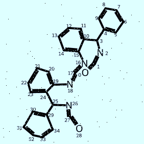 O=C=NC(c1ccccc1)c1ccccc1N=C=Nc1ccccc1C(N=C=O)c1ccccc1